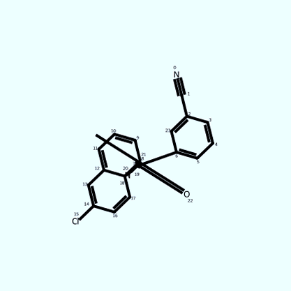 N#Cc1cccc(C2=C3C=CC=C4C=C(Cl)C=CC43C[N]C2=O)c1